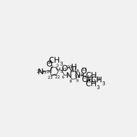 COc1cc([C@H]2CN3CCN(C(=O)OC(C)(C)C)C[C@H]3CO2)ccc1C#N